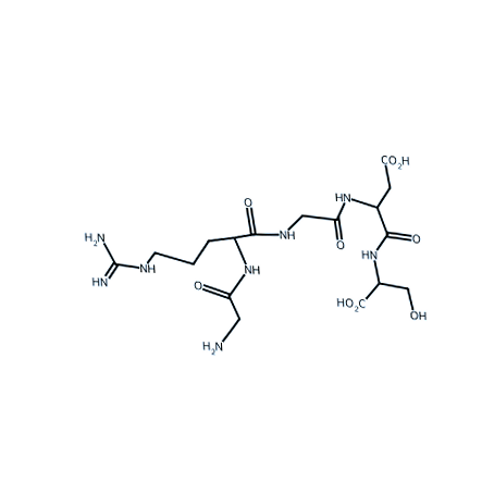 N=C(N)NCCCC(NC(=O)CN)C(=O)NCC(=O)NC(CC(=O)O)C(=O)NC(CO)C(=O)O